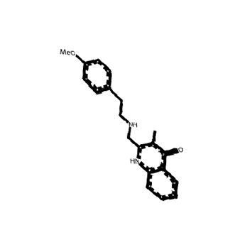 COc1ccc(CCNCc2[nH]c3ccccc3c(=O)c2C)cc1